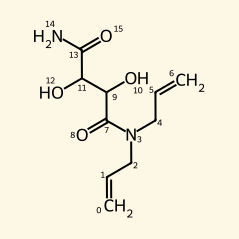 C=CCN(CC=C)C(=O)C(O)C(O)C(N)=O